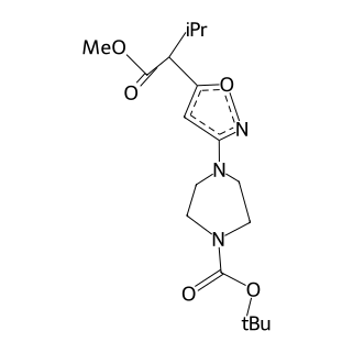 COC(=O)C(c1cc(N2CCN(C(=O)OC(C)(C)C)CC2)no1)C(C)C